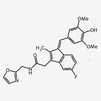 COc1cc(/C=C2/C(C)=C(CC(=O)NCc3ncco3)c3cc(F)ccc32)cc(OC)c1O